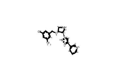 FC(F)(F)c1cc(Cl)cc(CO[C@@H]2CNC[C@H]2n2cc(-c3cccnc3)nn2)c1